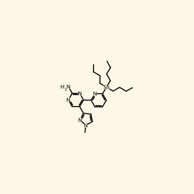 CCC[CH2][Sn]([CH2]CCC)([CH2]CCC)[c]1cccc(-c2nc(N)ncc2-c2ccn(C)n2)n1